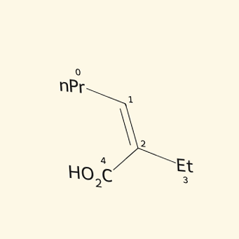 CCCC=C(CC)C(=O)O